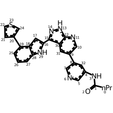 CCCC(=O)Nc1cncc(-c2cnc3[nH]nc(-c4cc5c(-c6ccsc6)cccc5[nH]4)c3c2)c1